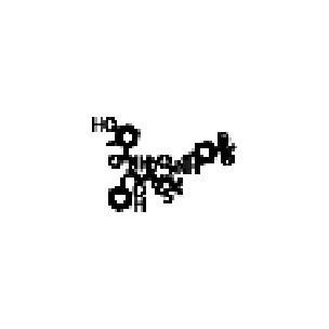 Cc1c(O)cccc1C(=O)N[C@@H](Cc1ccccc1)[C@H](O)C(=O)N1CSC(C)(C)[C@H]1C(=O)NCc1ccc(S(C)(=O)=O)cc1